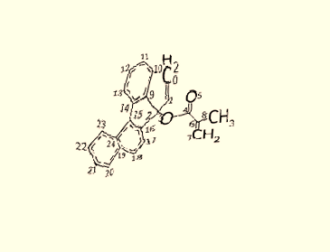 C=CC1(OC(=O)C(=C)C)c2ccccc2-c2c1ccc1ccccc21